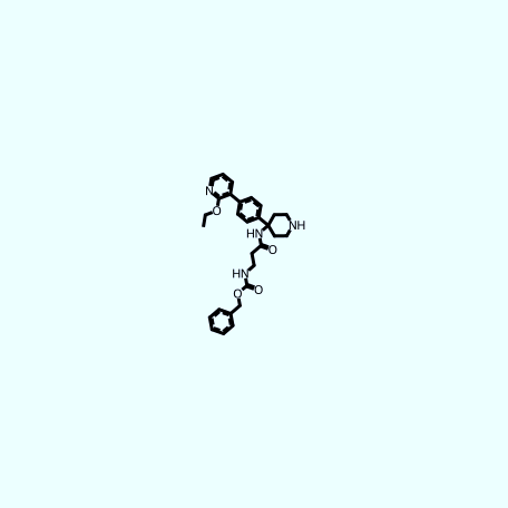 CCOc1ncccc1-c1ccc(C2(NC(=O)CCNC(=O)OCc3ccccc3)CCNCC2)cc1